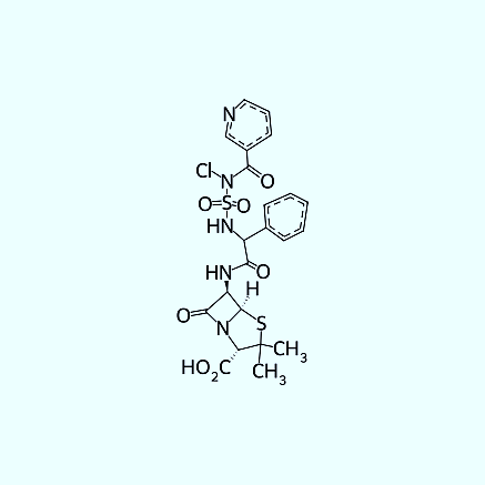 CC1(C)S[C@@H]2[C@H](NC(=O)C(NS(=O)(=O)N(Cl)C(=O)c3cccnc3)c3ccccc3)C(=O)N2[C@H]1C(=O)O